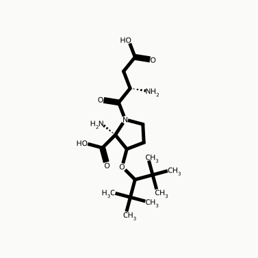 CC(C)(C)C(OC1CCN(C(=O)[C@@H](N)CC(=O)O)[C@]1(N)C(=O)O)C(C)(C)C